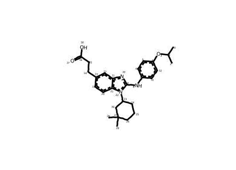 CC(C)Oc1ccc(Nc2nc3cc(CCC(=O)O)ccc3n2C2CCCC(C)(C)C2)cc1